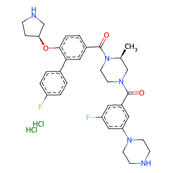 C[C@H]1CN(C(=O)c2cc(F)cc(N3CCNCC3)c2)CCN1C(=O)c1ccc(O[C@H]2CCNC2)c(-c2ccc(F)cc2)c1.Cl.Cl